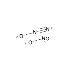 N#[N+][O-].O=[NH+][O-]